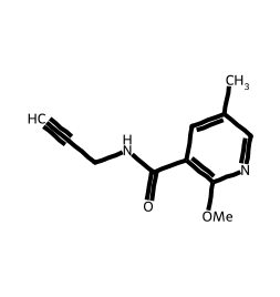 C#CCNC(=O)c1cc(C)cnc1OC